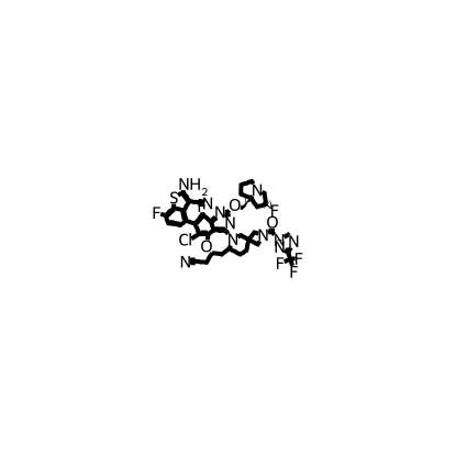 N#CCC1CC2CCC3(CN(C(=O)n4cnc(C(F)(F)F)n4)C3)CN2c2nc(OC[C@@]34CCCN3C[C@H](F)C4)nc3c(F)c(-c4ccc(F)c5sc(N)c(C#N)c45)c(Cl)c(c23)O1